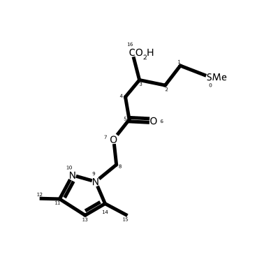 CSCCC(CC(=O)OCn1nc(C)cc1C)C(=O)O